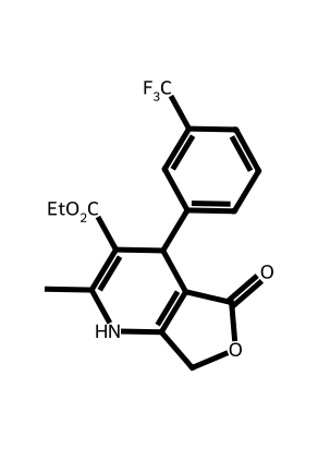 CCOC(=O)C1=C(C)NC2=C(C(=O)OC2)C1c1cccc(C(F)(F)F)c1